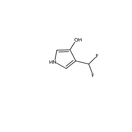 Oc1c[nH]cc1C(F)F